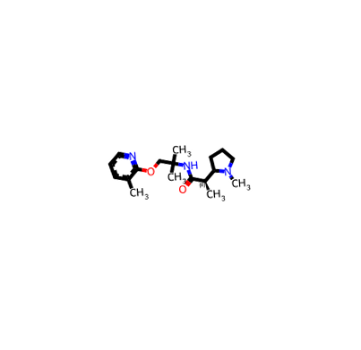 Cc1cccnc1OCC(C)(C)NC(=O)[C@H](C)C1CCCN1C